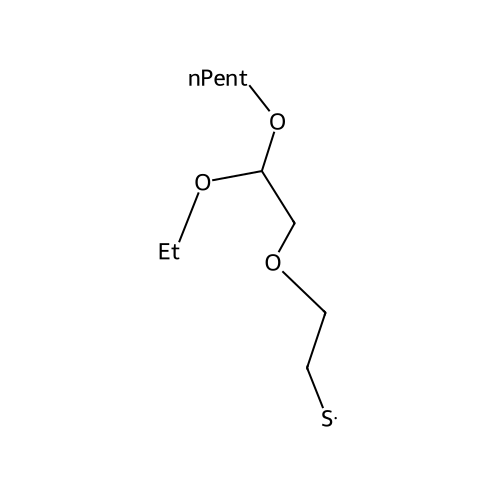 CCCCCOC(COCC[S])OCC